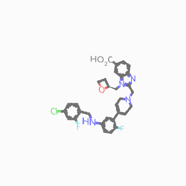 O=C(O)c1ccc2nc(CN3CC=C(c4cc(NCc5ccc(Cl)cc5F)ccc4F)CC3)n(C[C@@H]3CCO3)c2c1